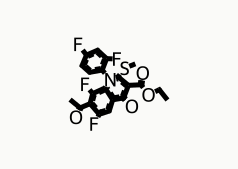 CCOC(=O)c1c(SC)n(-c2ccc(F)cc2F)c2c(F)c(C(C)=O)c(F)cc2c1=O